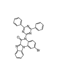 O=c1c2nc3ccccc3n2c2cc(Br)ccc2n1-c1nc(-c2ccccc2)nc(-c2ccccc2)n1